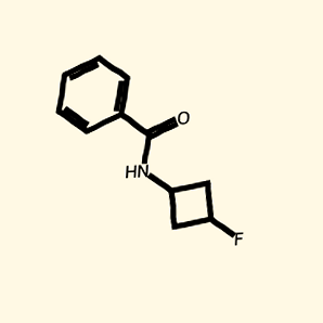 O=C(NC1CC(F)C1)c1ccccc1